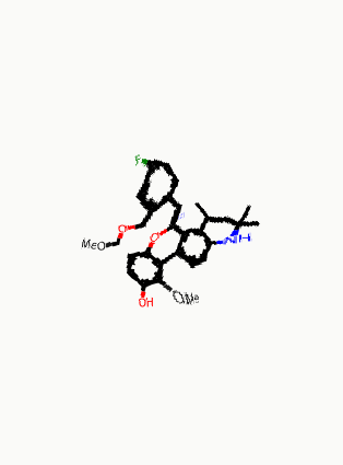 COCOCc1cc(F)ccc1/C=C1\Oc2ccc(O)c(OC)c2-c2ccc3c(c21)C(C)=CC(C)(C)N3